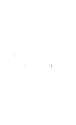 Cc1ccc2c(n1)oc1c3cccc(N4C=CN(C)[C@@H]4C)c3oc21